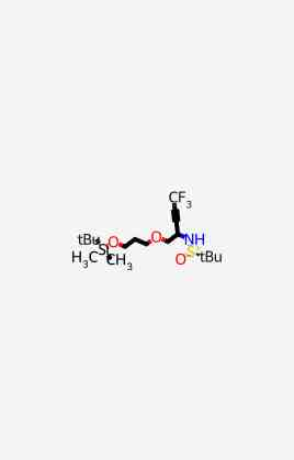 CC(C)(C)[S@@+]([O-])NC(C#CC(F)(F)F)COCCCO[Si](C)(C)C(C)(C)C